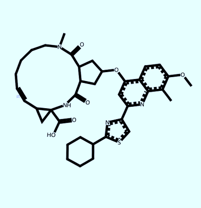 COc1ccc2c(OC3CC4C(=O)NC5(C(=O)O)CC5/C=C\CCCCN(C)C(=O)C4C3)cc(-c3csc(C4CCCCC4)n3)nc2c1C